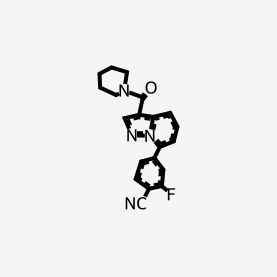 N#Cc1ccc(-c2cccc3c(C(=O)N4CCCCC4)cnn23)cc1F